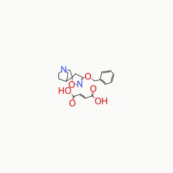 O=C(O)/C=C/C(=O)O.c1ccc(COC2=NOC3(C2)CN2CCC3CC2)cc1